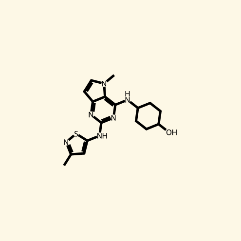 Cc1cc(Nc2nc(NC3CCC(O)CC3)c3c(ccn3C)n2)sn1